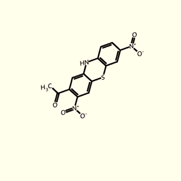 CC(=O)c1cc2c(cc1[N+](=O)[O-])Sc1cc([N+](=O)[O-])ccc1N2